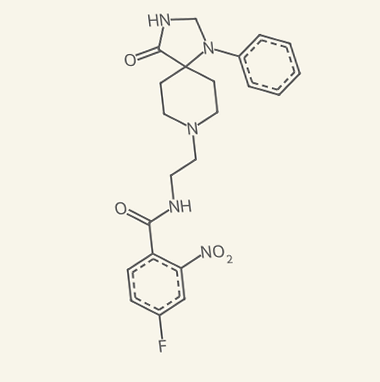 O=C(NCCN1CCC2(CC1)C(=O)NCN2c1ccccc1)c1ccc(F)cc1[N+](=O)[O-]